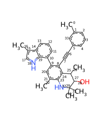 Cc1cccc(C#Cc2c(-c3cccc4c(C)c[nH]c34)cc(C)c3c2C(C)C(O)C(C)(C)N3)c1